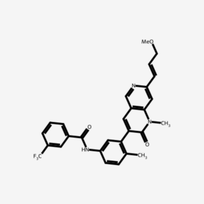 COC/C=C/c1cc2c(cn1)cc(-c1cc(NC(=O)c3cccc(C(F)(F)F)c3)ccc1C)c(=O)n2C